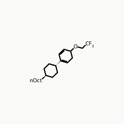 CCCCCCCC[C@H]1CC[C@H](C2=CCC(OCC(F)(F)F)C=C2)CC1